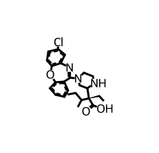 CCC(C)[C@@](CC)(C(=O)O)C1CN(C2=Nc3cc(Cl)ccc3Oc3ccccc32)CCN1